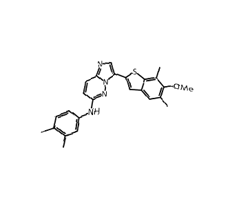 COc1c(C)cc2cc(-c3cnc4ccc(Nc5ccc(C)c(C)c5)nn34)sc2c1C